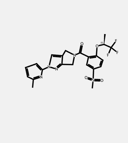 Cc1cccc(-n2cc3c(n2)CN(C(=O)c2cc(S(C)(=O)=O)ccc2O[C@@H](C)C(F)(F)F)C3)n1